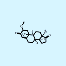 C[C@]12CC(OF)C(=O)C=C1CC[C@@H]1[C@@H]2CC[C@]2(C)C(=O)CC[C@@H]12